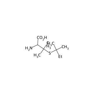 CCC(C)(C)SC(C)(C)C(N)C(=O)O